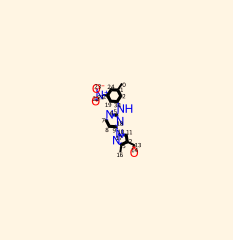 Cc1cc(Nc2nccc(-n3cc(C=O)c(C)n3)n2)cc([N+](=O)[O-])c1